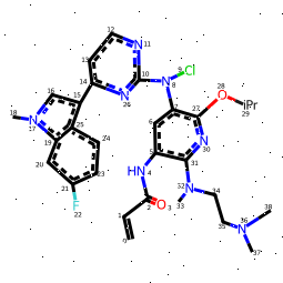 C=CC(=O)Nc1cc(N(Cl)c2nccc(-c3cn(C)c4cc(F)ccc34)n2)c(OC(C)C)nc1N(C)CCN(C)C